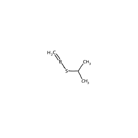 C=BSC(C)C